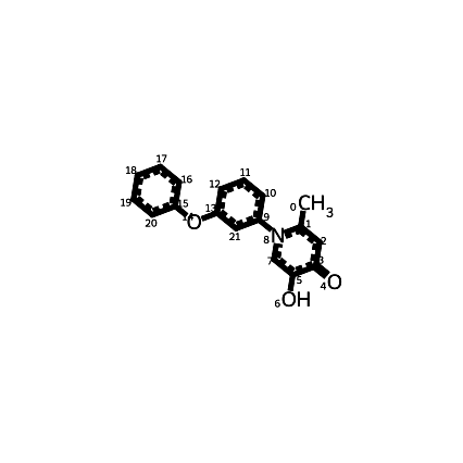 Cc1cc(=O)c(O)cn1-c1cccc(Oc2ccccc2)c1